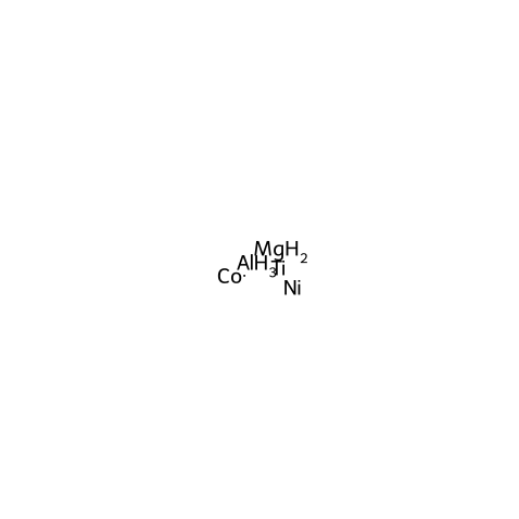 [AlH3].[Co].[MgH2].[Ni].[Ti]